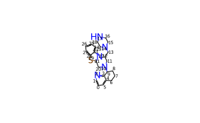 c1cnc2c(c1)CCC[C@@H]2N(CCCN1CCNCC1)Cc1nc2ccccc2s1